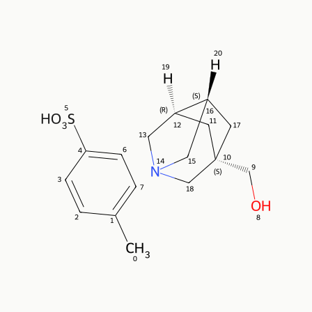 Cc1ccc(S(=O)(=O)O)cc1.OC[C@]12C[C@H]3CN(C[C@H]3C1)C2